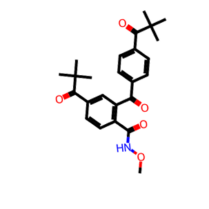 CONC(=O)c1ccc(C(=O)C(C)(C)C)cc1C(=O)c1ccc(C(=O)C(C)(C)C)cc1